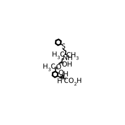 C[C@@H](OC[C@H](O)CNC(C)(C)CCSc1ccccc1)c1cccc2c1O[C@@H]1[C@@H](C(=O)O)[C@H]21